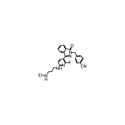 CCNCCCNc1ccc(-c2nn(Cc3ccc(C#N)cc3)c(=O)c3ccccc23)c(F)n1